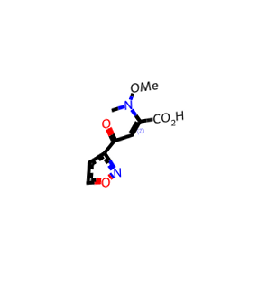 CON(C)/C(=C\C(=O)c1ccon1)C(=O)O